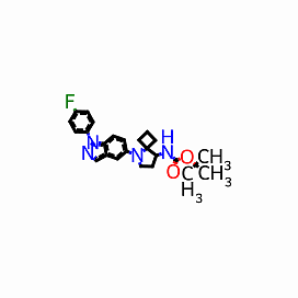 CC(C)(C)OC(=O)NC1CCN(c2ccc3c(cnn3-c3ccc(F)cc3)c2)C12CCC2